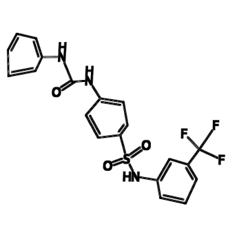 O=C(Nc1ccccc1)Nc1ccc(S(=O)(=O)Nc2cccc(C(F)(F)F)c2)cc1